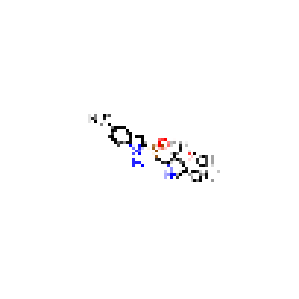 COc1c(C)cnc(C[S+]([O-])c2cc3cc(C)ccc3[nH]2)c1C